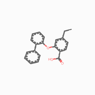 CCc1ccc(C(=O)O)c(Oc2ccccc2-c2ccccc2)c1